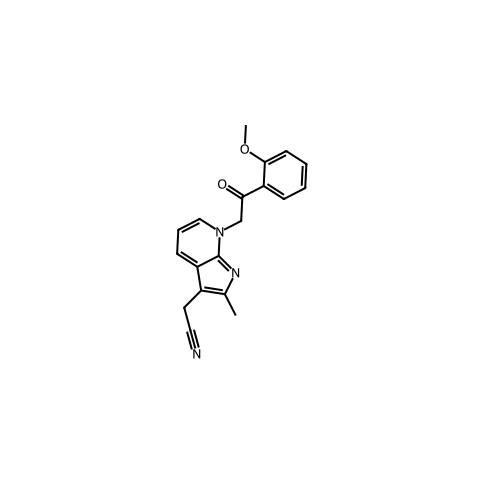 COc1ccccc1C(=O)Cn1cccc2c(CC#N)c(C)nc1-2